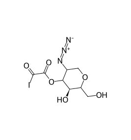 [N-]=[N+]=NC1COC(CO)[C@@H](O)C1OC(=O)C(=O)I